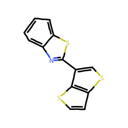 c1ccc2sc(-c3csc4ccsc34)nc2c1